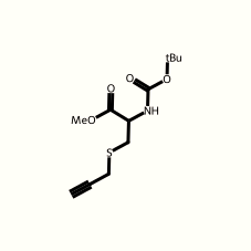 C#CCSCC(NC(=O)OC(C)(C)C)C(=O)OC